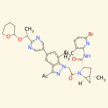 CC(=O)c1nn(CC(=O)N2[C@H](C(=O)Nc3nc(Br)ccc3C)C[C@@]3(C)C[C@@H]23)c2c(C)cc(-c3cnc(C(C)OC4CCCCO4)nc3)cc12